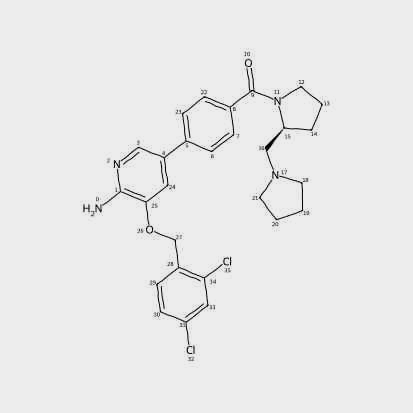 Nc1ncc(-c2ccc(C(=O)N3CCC[C@H]3CN3CCCC3)cc2)cc1OCc1ccc(Cl)cc1Cl